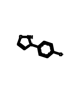 [O]c1ccc(N2C=CON2)cc1